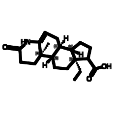 CC[C@]12CC[C@H]3[C@@H](CC=C4NC(=O)CC[C@@]43C)[C@@H]1CCC2C(=O)O